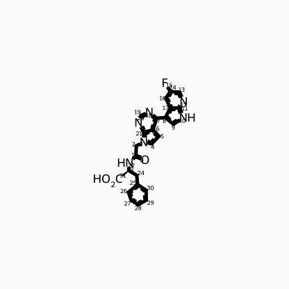 O=C(Cn1ccc2c(-c3c[nH]c4ncc(F)cc34)ncnc21)N[C@@H](Cc1ccccc1)C(=O)O